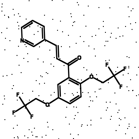 O=C(/C=C/c1cccnc1)c1cc(OCC(F)(F)F)ccc1OCC(F)(F)F